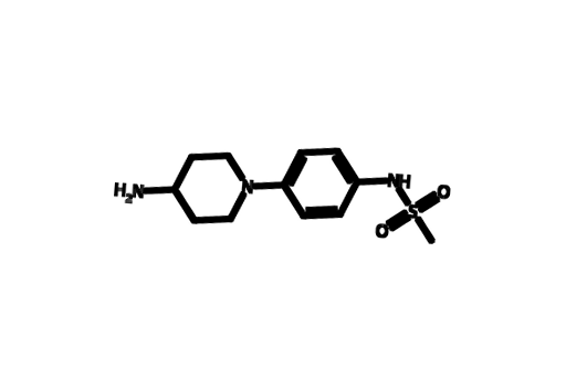 CS(=O)(=O)Nc1ccc(N2CCC(N)CC2)cc1